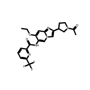 CCOc1cc2nc(C3CCN(C(C)=O)C3)cn2cc1NC(=O)c1cccc(C(F)(F)F)n1